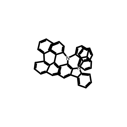 c1ccc(-c2cccc3cccc(-c4ccccc4N(c4cccc5ccccc45)c4cccc5c6ccccc6n(-c6ccccc6)c45)c23)cc1